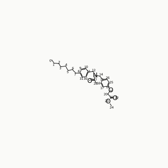 CCCCCCCCc1ccc(CN(Cc2ccc(OCC(=O)OC)cc2)C(C)=O)cc1